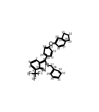 FC(F)(F)c1cccc2c(-c3ccc(Oc4ccc5c(c4)CCC5)cc3)n(Cc3ccccc3)nc12